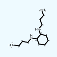 NCCCNC1CCCCC1NCCCN